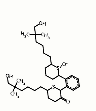 CC(C)(CO)CCCCC1CCC(=O)C(c2ccccc2C2CCCC(CCCCC(C)(C)CO)[S+]2[O-])S1